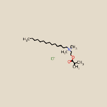 C=C(C)C(=O)OCC[N+](C)(C)CCCCCCCCCCCCCC.[Cl-]